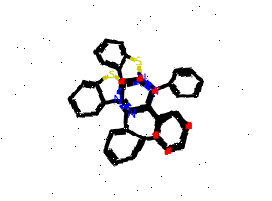 c1ccc(-c2nc3sc4ccccc4c3nc2-c2ccccc2-c2ccccc2-c2nc3c(nc2-c2ccccc2)sc2ccccc23)cc1